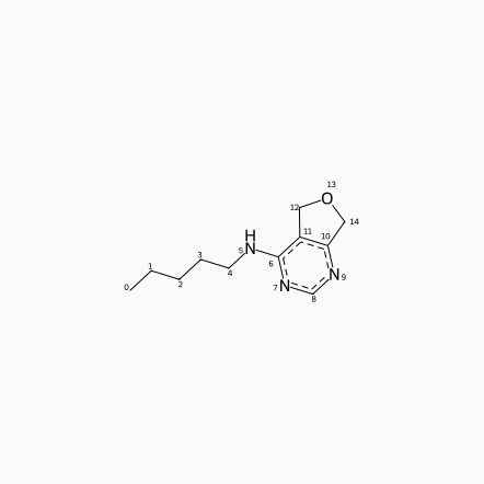 CCCCCNc1ncnc2c1COC2